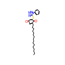 CCCCCCCCCCCCCCCCC1=CC(=O)C=C(Sc2nnnn2-c2ccccc2)C1=O